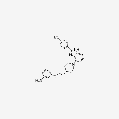 CCc1ccc(-c2nc3c(N4CCN(CCOc5cccc(N)c5)CC4)cccc3[nH]2)cc1